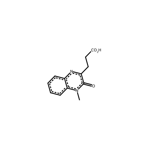 Cn1c(=O)c(CCC(=O)O)nc2ccccc21